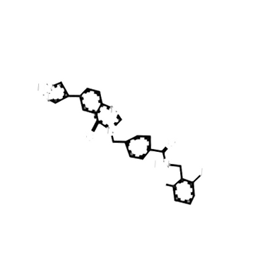 O=C(NCc1c(F)cccc1F)c1ccc(Cn2cnc3ccc(-c4cn[nH]c4)cc3c2=O)cc1